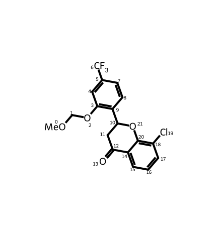 COCOc1cc(C(F)(F)F)ccc1C1CC(=O)c2cccc(Cl)c2O1